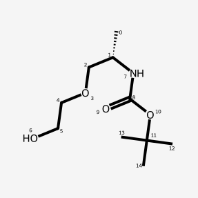 C[C@@H](COCCO)NC(=O)OC(C)(C)C